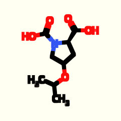 CC(C)OC1C[C@H](C(=O)O)N(C(=O)O)C1